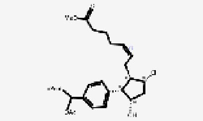 CCCCCC(OC(C)=O)c1ccc([C@@H]2[C@@H](C/C=C\CCCC(=O)OC)[C@H](Cl)C[C@@H]2O)cc1